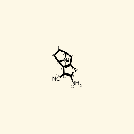 CN1C2CCC1c1c(sc(N)c1C#N)C2